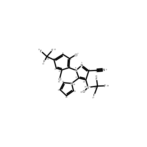 N#Cc1nn(-c2c(Cl)cc(C(F)(F)F)cc2Cl)c(-n2cccc2)c1[S+]([O-])C(F)(F)F